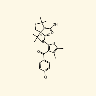 Cc1sc(NC(=O)[C@]2(C(C)(C)C)COC(C)(C)N2C(=O)O)c(C(=O)c2ccc(Cl)cc2)c1C